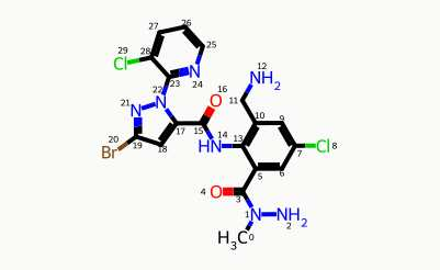 CN(N)C(=O)c1cc(Cl)cc(CN)c1NC(=O)c1cc(Br)nn1-c1ncccc1Cl